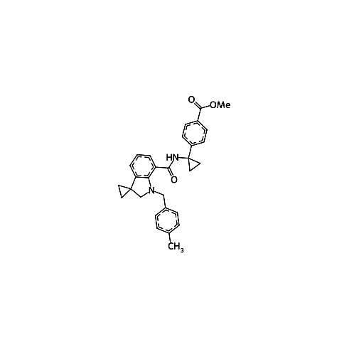 COC(=O)c1ccc(C2(NC(=O)c3cccc4c3N(Cc3ccc(C)cc3)CC43CC3)CC2)cc1